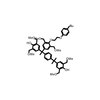 CCC(C)c1ccc(OCCOc2c(COC)cc(C(C)(c3ccc(C(C)(C)c4cc(COC)c(O)c(COC)c4)cc3)c3cc(COC)c(O)c(COC)c3)cc2COC)cc1